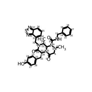 C[C@H]1C2N(C(=O)CN(C)N2C(=O)NCc2ccccc2)[C@@H](Cc2ccc(O)cc2)C(=O)N1Cc1cccc2nsnc12